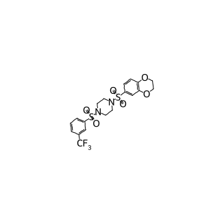 O=S(=O)(c1cccc(C(F)(F)F)c1)N1CCN(S(=O)(=O)c2ccc3c(c2)OCCO3)CC1